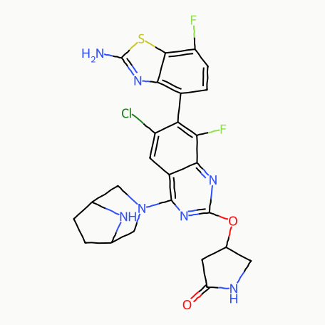 Nc1nc2c(-c3c(Cl)cc4c(N5CC6CCC(C5)N6)nc(OC5CNC(=O)C5)nc4c3F)ccc(F)c2s1